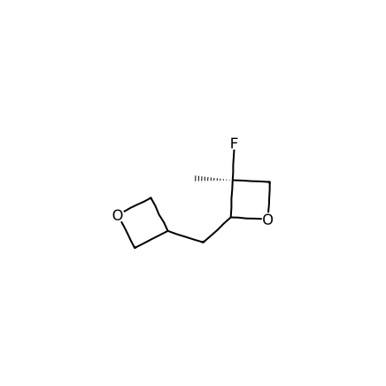 C[C@]1(F)COC1CC1COC1